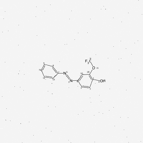 Oc1ccc(/N=N/c2ccccc2)cc1OC(F)(F)F